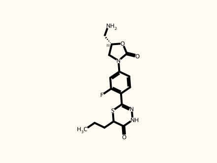 CCCC1SC(c2ccc(N3C[C@H](CN)OC3=O)cc2F)=NNC1=O